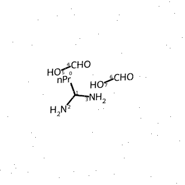 CCCC(N)N.O=CO.O=CO